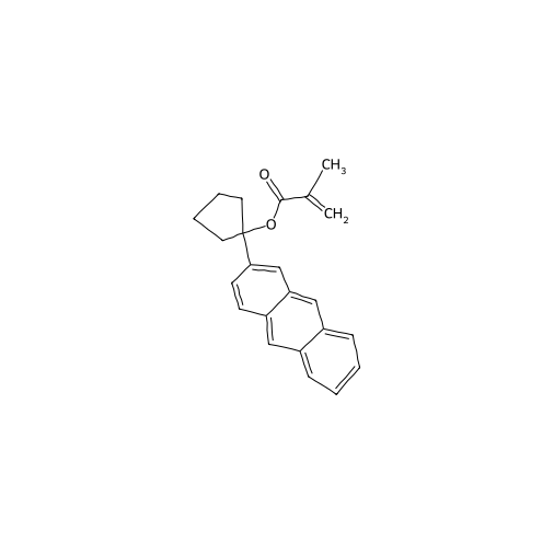 C=C(C)C(=O)OC1(c2ccc3cc4ccccc4cc3c2)CCCC1